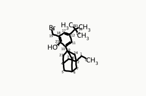 CCC12CC3CC(C1)CC(c1cc(C(C)(C)C)cc(CBr)c1O)(C3)C2